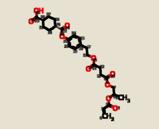 C=CC(=O)OC(C)COC(=O)CCC(=O)OCCc1ccc(OC(=O)[C@H]2CC[C@H](C(=O)O)CC2)cc1